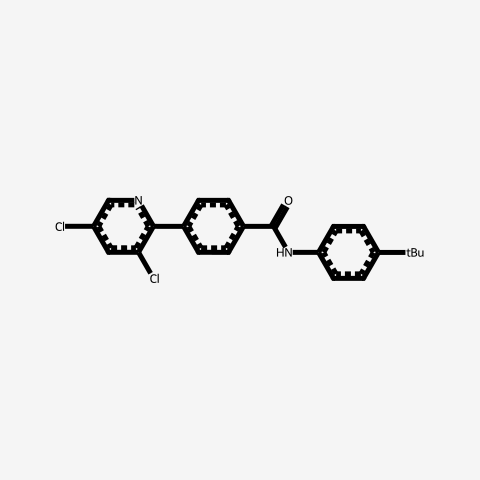 CC(C)(C)c1ccc(NC(=O)c2ccc(-c3ncc(Cl)cc3Cl)cc2)cc1